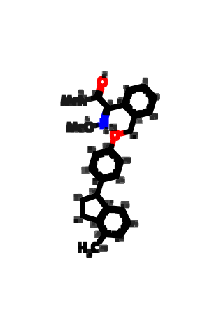 CNC(=O)C(=NOC)c1ccccc1COc1ccc(C2CCc3c(C)cccc32)cc1